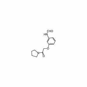 O=CNc1cccc(OCC(=O)N2CCCC2)c1